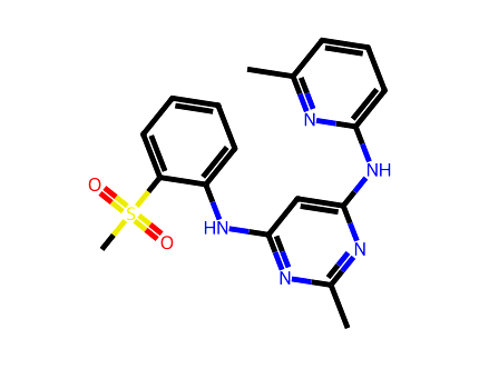 Cc1cccc(Nc2cc(Nc3ccccc3S(C)(=O)=O)nc(C)n2)n1